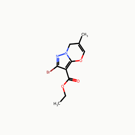 CCOC(=O)c1c(Br)nn2c1OC=C(C)C2